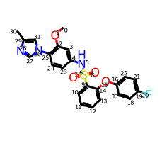 COc1cc(NS(=O)(=O)c2ccccc2Oc2ccc(F)cc2)ccc1-n1cnc(C)c1